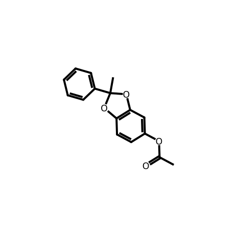 CC(=O)Oc1ccc2c(c1)OC(C)(c1ccccc1)O2